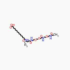 CCC(=O)NCCOCCNC(=O)COCCOCCNC(=O)CC[C@H](C)NC(=O)CCCCCCCCCCCCCC(=O)O